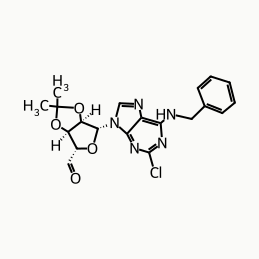 CC1(C)O[C@@H]2[C@H](O1)[C@@H](C=O)O[C@H]2n1cnc2c(NCc3ccccc3)nc(Cl)nc21